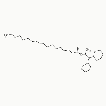 CCCCCCCCCCCCCCCCCC(=O)OC(C)N(C1CCCCC1)C1CCCCC1